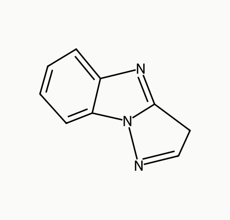 C1=Nn2c(nc3ccccc32)C1